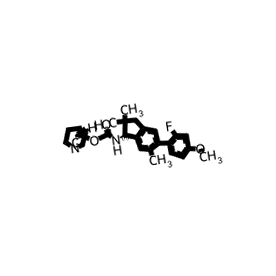 COc1ccc(-c2cc3c(cc2C)[C@H](NC(=O)O[C@@H]2CN4CCC2CC4)C(C)(C)C3)c(F)c1